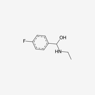 CCNC(O)c1ccc(F)cc1